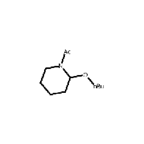 CCCCOC1CCCCN1C(C)=O